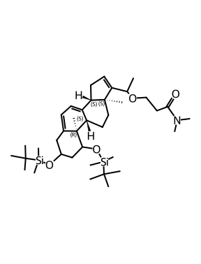 CC(OCCC(=O)N(C)C)C1=CC[C@H]2C3=CC=C4CC(O[Si](C)(C)C(C)(C)C)CC(O[Si](C)(C)C(C)(C)C)[C@]4(C)[C@H]3CC[C@]12C